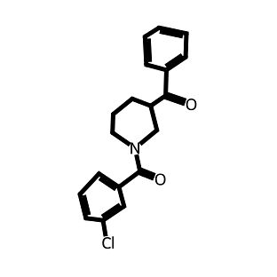 O=C(c1ccccc1)C1CCCN(C(=O)c2cccc(Cl)c2)C1